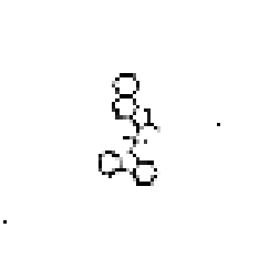 CC1=CC2C(=C1C(C)(C)C1c3ccccc3-c3ccccc31)C=CC1=C2CCCC1